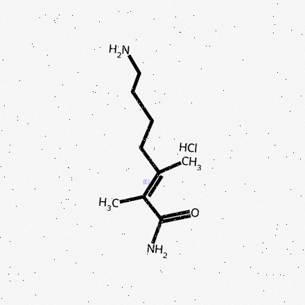 C/C(CCCCN)=C(/C)C(N)=O.Cl